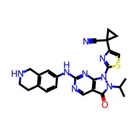 CC(C)n1c(=O)c2cnc(Nc3ccc4c(c3)CNCC4)nc2n1-c1nc(C2(C#N)CC2)cs1